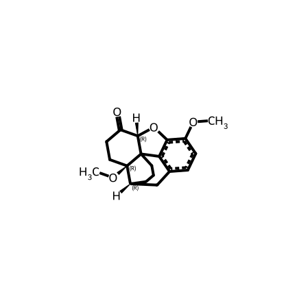 COc1ccc2c3c1O[C@H]1C(=O)CC[C@@]4(OC)[C@H](CCCC314)C2